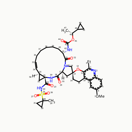 CCc1nc2ccc(OC)cc2c2c1O[C@]1(CC2)C[C@H]2C(=O)N[C@]3(C(=O)NS(=O)(=O)C4(C)CC4)C[C@H]3/C=C\CCCCC[C@H](NC(=O)O[C@H](C)C3CC3)C(=O)N2C1